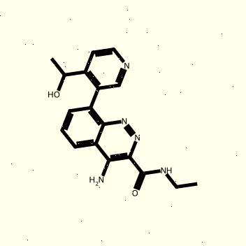 CCNC(=O)c1nnc2c(-c3cnccc3C(C)O)cccc2c1N